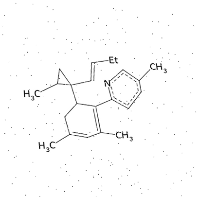 CCC=CC1(C2CC(C)=CC(C)=C2c2ccc(C)cn2)CC1C